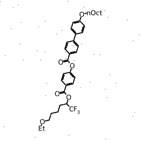 CCCCCCCCOc1ccc(-c2ccc(C(=O)Oc3ccc(C(=O)OC(CCCCOCC)C(F)(F)F)cc3)cc2)cc1